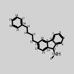 CNC1c2ccccc2-c2cc(CCCCc3ccccc3)ccc21